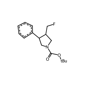 CC(C)(C)OC(=O)N1CC(CF)C(c2ccccc2)C1